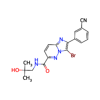 CC(C)(O)CNC(=O)c1ccc2nc(-c3cccc(C#N)c3)c(Br)n2n1